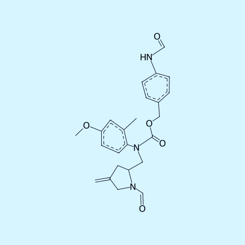 C=C1CC(CN(C(=O)OCc2ccc(NC=O)cc2)c2ccc(OC)cc2C)N(C=O)C1